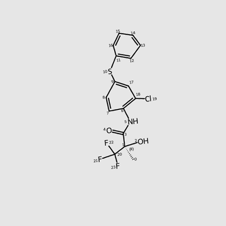 C[C@@](O)(C(=O)Nc1ccc(Sc2ccccc2)cc1Cl)C(F)(F)F